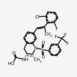 CC(=Cc1ccc2c(c1)N(S(=O)(=O)c1cccc(C(F)(F)F)c1)[C@H](C)[C@H](NC(=O)O)C2)c1c(F)cccc1Cl